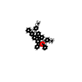 FC(F)(F)Oc1ccc(N(c2ccc3c(c2)C2(c4ccccc4-c4cc5c6ccccc6c6ccccc6c5cc42)c2cc(N(c4ccc(OC(F)(F)F)cc4)c4cccc5c4oc4ccccc45)ccc2-3)c2cccc3c2oc2ccccc23)cc1